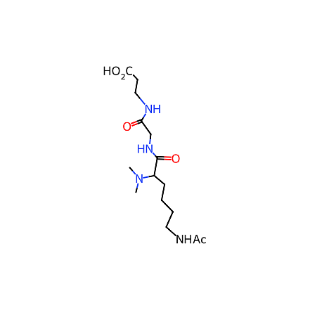 CC(=O)NCCCCC(C(=O)NCC(=O)NCCC(=O)O)N(C)C